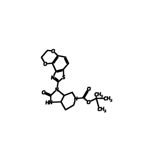 CC(C)(C)OC(=O)N1CCC2NC(=O)N(c3nc4c5c(ccc4s3)OCCO5)C2C1